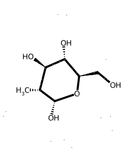 C[C@@H]1[C@@H](O)[C@H](O)[C@@H](CO)O[C@@H]1O